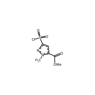 COC(=O)c1cc(S(=O)(=O)Cl)nn1C